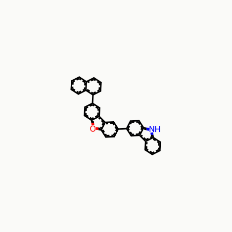 c1ccc2c(-c3ccc4oc5ccc(-c6ccc7[nH]c8ccccc8c7c6)cc5c4c3)cccc2c1